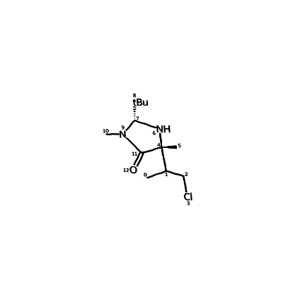 CC(CCl)[C@@]1(C)N[C@@H](C(C)(C)C)N(C)C1=O